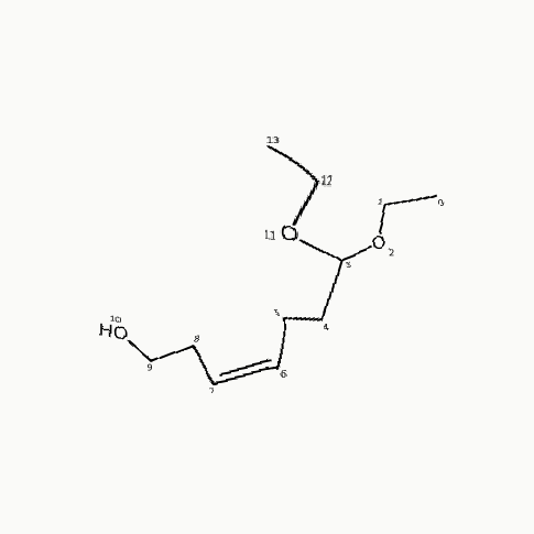 CCOC(CC/C=C\CCO)OCC